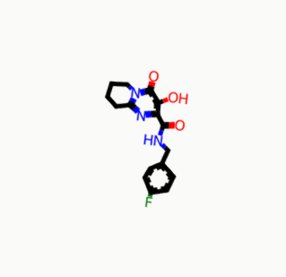 O=C(NCc1ccc(F)cc1)c1nc2n(c(=O)c1O)CCCC2